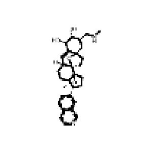 CNC[C@H]1C[C@@]23CC[C@]4(O2)[C@@H]2CC[C@H](c5ccc6ccncc6c5)[C@@]2(C)CC[C@@H]4C=C3[C@@H](O)[C@@H]1O